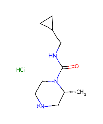 C[C@@H]1CNCCN1C(=O)NCC1CC1.Cl